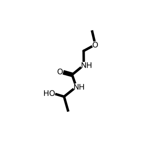 COCNC(=O)NC(C)O